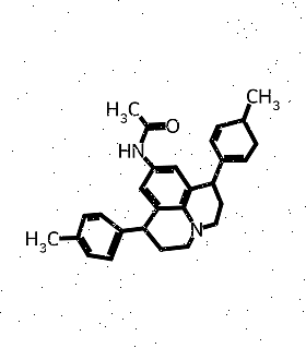 CC(=O)Nc1cc2c3c(c1)C(c1ccc(C)cc1)CCN3CCC2C1=CCC(C)C=C1